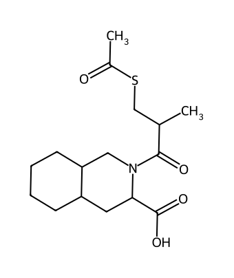 CC(=O)SCC(C)C(=O)N1CC2CCCCC2CC1C(=O)O